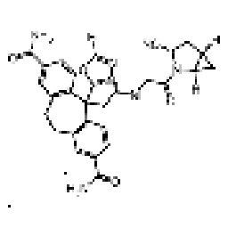 CCc1nnc(C2(C[C@@H](C)NCC(=O)N3C(C#N)C[C@@H]4C[C@@H]43)c3ccc(C(N)=O)cc3CCc3cc(C(N)=O)ccc32)o1